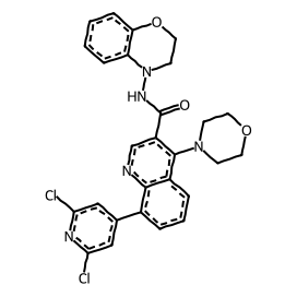 O=C(NN1CCOc2ccccc21)c1cnc2c(-c3cc(Cl)nc(Cl)c3)cccc2c1N1CCOCC1